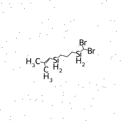 CC(C)=C[SiH2]CCC[SiH2]C(Br)Br